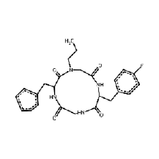 CCCN1CC(=O)NC(Cc2ccc(F)cc2)C(=O)NCC(=O)NC(Cc2ccccc2)C1=O